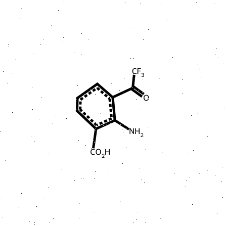 Nc1c(C(=O)O)cccc1C(=O)C(F)(F)F